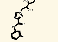 O=C(Nc1cccc(F)c1)c1ncn(CC(O)C(O)CCO)n1